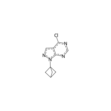 Clc1ncnc2c1cnn2C12CC(C1)C2